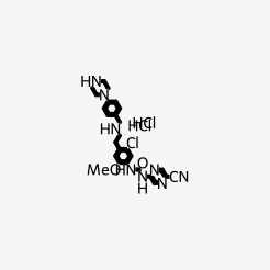 COc1cc(CCNCc2ccc(N3CCNCC3)cc2)c(Cl)cc1NC(=O)Nc1cnc(C#N)cn1.Cl.Cl